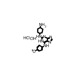 COc1ccc(Nc2[nH]c(NC3CCC(N)CC3)nc3ncnc2-3)cc1.Cl.Cl